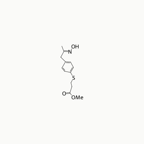 COC(=O)CCSc1ccc(CC(C)=NO)cc1